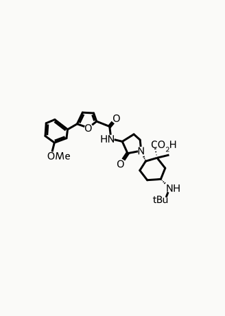 COc1cccc(-c2ccc(C(=O)NC3CCN([C@H]4CC[C@@H](NC(C)(C)C)C[C@@]4(C)C(=O)O)C3=O)o2)c1